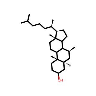 CC(C)CCC[C@@H](C)[C@H]1CCC2C3C(CC[C@@]21C)[C@@]1(C)CC[C@H](O)C[C@@H]1C[C@@H]3C